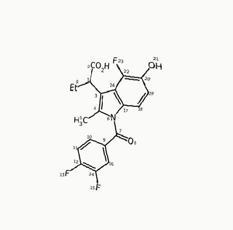 CCC(C(=O)O)c1c(C)n(C(=O)c2ccc(F)c(F)c2)c2ccc(O)c(F)c12